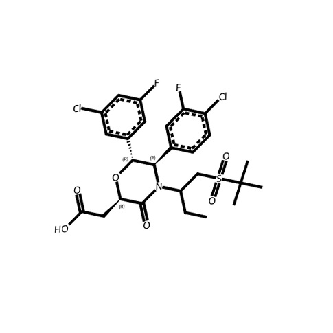 CCC(CS(=O)(=O)C(C)(C)C)N1C(=O)[C@@H](CC(=O)O)O[C@H](c2cc(F)cc(Cl)c2)[C@H]1c1ccc(Cl)c(F)c1